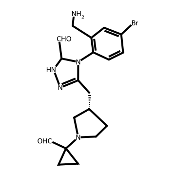 NCc1cc(Br)ccc1N1C(C[C@@H]2CCN(C3(C=O)CC3)C2)=NNC1C=O